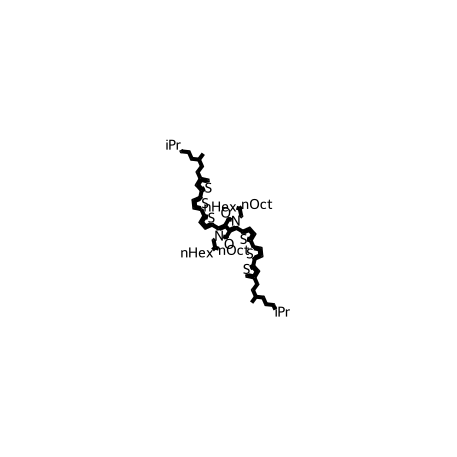 CCCCCCCCC(CCCCCC)CN1C(=O)C2=C(c3ccc(-c4ccc(-c5cc(CCC(C)CCCC(C)C)cs5)s4)s3)N(CC(CCCCCC)CCCCCCCC)C(=O)C2=C1c1ccc(-c2ccc(-c3cc(CCC(C)CCCC(C)C)cs3)s2)s1